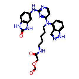 O=COCC(=O)NCCCCCN(c1ccnc(Nc2ccc3[nH]c(=O)[nH]c3c2)n1)c1cccc2[nH]ncc12